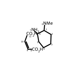 CNC1CCCCC1N.O=C(O)/C=C\C(=O)O